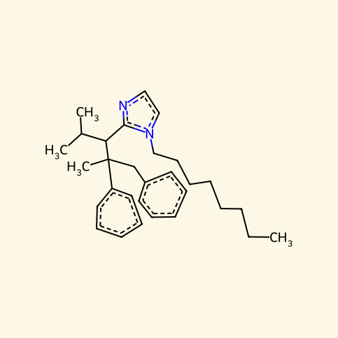 CCCCCCCCn1ccnc1C(C(C)C)C(C)(Cc1ccccc1)c1ccccc1